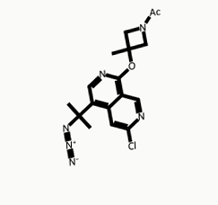 CC(=O)N1CC(C)(Oc2ncc(C(C)(C)N=[N+]=[N-])c3cc(Cl)ncc23)C1